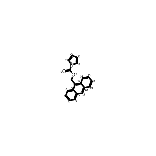 O=C(OCc1c2ccccc2cc2ccccc12)n1cccc1